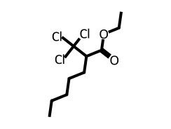 CCCCCC(C(=O)OCC)C(Cl)(Cl)Cl